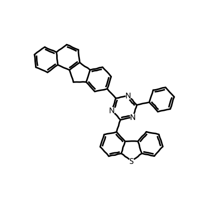 c1ccc(-c2nc(-c3ccc4c(c3)Cc3c-4ccc4ccccc34)nc(-c3cccc4sc5ccccc5c34)n2)cc1